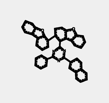 c1ccc(-c2nc(-c3ccc4ccccc4c3)nc(-c3c(-c4cccc5c4oc4ccccc45)ccc4oc5ccccc5c34)n2)cc1